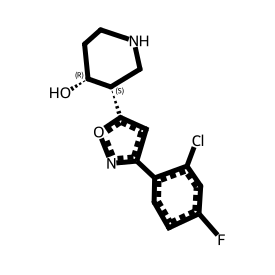 O[C@@H]1CCNC[C@@H]1c1cc(-c2ccc(F)cc2Cl)no1